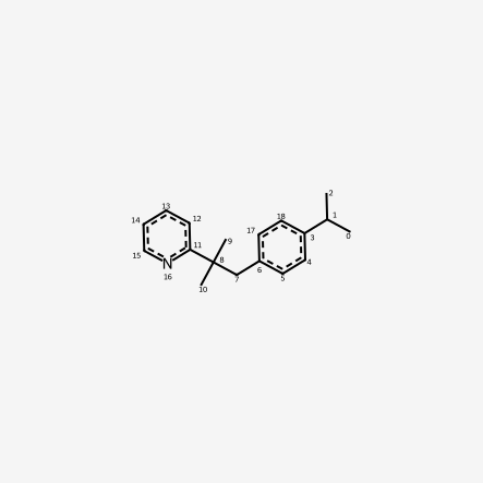 CC(C)c1ccc(CC(C)(C)c2ccccn2)cc1